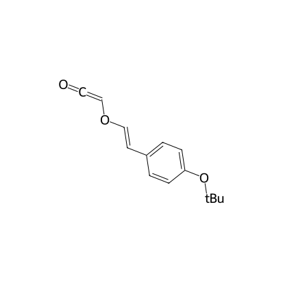 CC(C)(C)Oc1ccc(C=COC=C=O)cc1